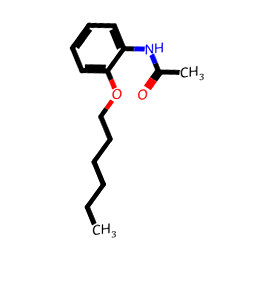 CCCCCCOc1ccccc1NC(C)=O